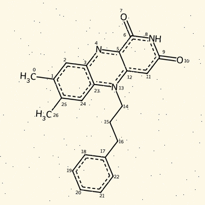 Cc1cc2nc3c(=O)[nH]c(=O)cc-3n(CCCc3ccccc3)c2cc1C